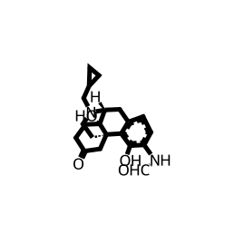 O=CNc1ccc2c(c1O)[C@]13CCN(CC4CC4)[C@H](C2)[C@]1(O)CCC(=O)C3